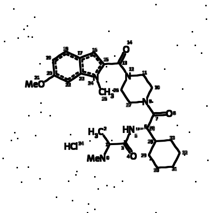 CNC(C)C(=O)N[C@H](C(=O)N1CCN(C(=O)c2cc3ccc(OC)cc3n2C)CC1)C1CCCCC1.Cl